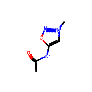 CC(=O)[N-]c1c[n+](C)no1